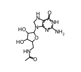 CC(=O)NCC1OC(N2CNc3c2nc(N)[nH]c3=O)C(O)C1O